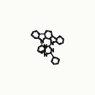 Cc1nc(-c2ccccc2)nc(-n2c3ccccc3c3ccc4c5ccccc5n(-c5ccccc5)c4c32)n1